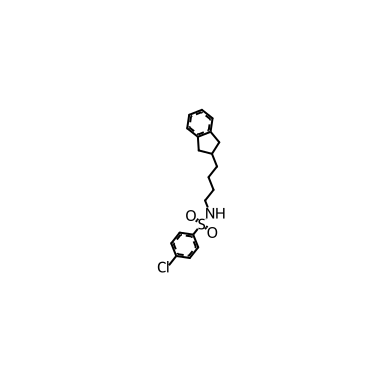 O=S(=O)(NCCCCC1Cc2ccccc2C1)c1ccc(Cl)cc1